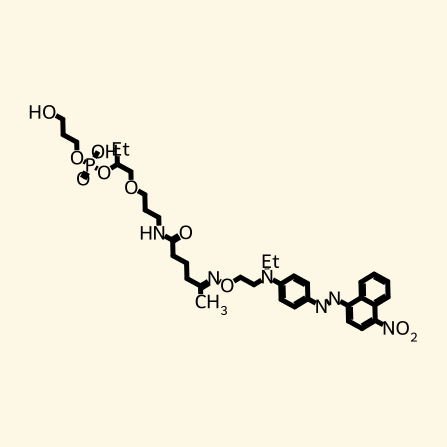 CCC(COCCCNC(=O)CCC/C(C)=N/OCCN(CC)c1ccc(/N=N/c2ccc([N+](=O)[O-])c3ccccc23)cc1)OP(=O)(O)OCCCO